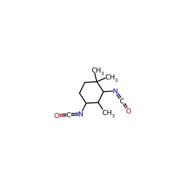 CC1C(N=C=O)CCC(C)(C)C1N=C=O